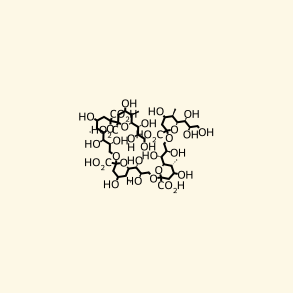 C[C@@H]1C(O)CC(OC[C@@H](O)[C@@H](O)[C@@H]2OC(OC[C@@H](O)[C@@H](O)[C@@H]3OC(OC[C@@H](O)[C@@H](O)[C@@H]4OC(C(=O)O)(C5(C(=O)O)CC(O)[C@@H](C)[C@H]([C@H](O)[C@H](O)CO)O5)CC(O)[C@H]4C)(C(=O)O)CC(O)[C@H]3C)(C(=O)O)CC(O)[C@H]2C)(C(=O)O)O[C@H]1[C@H](O)[C@H](O)CO